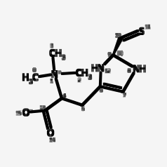 C[N+](C)(C)C(CC1=CN[C@H](C=S)N1)C(=O)[O-]